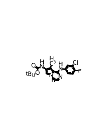 Cc1c(NC(=O)OC(C)(C)C)cn2ncnc(Nc3ccc(F)c(Cl)c3)c12